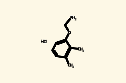 Cc1cccc(OCP)c1C.Cl